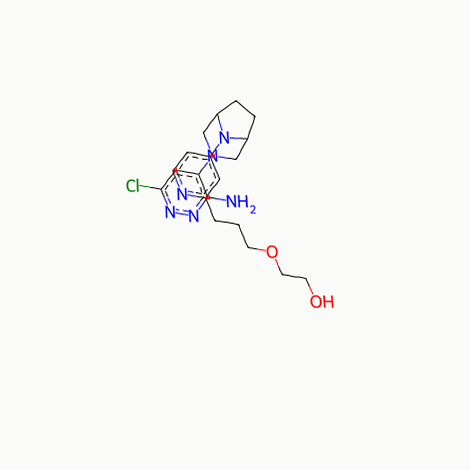 Nc1nnc(Cl)cc1N1CC2CCC(C1)N2c1ccnc(CCCOCCO)c1